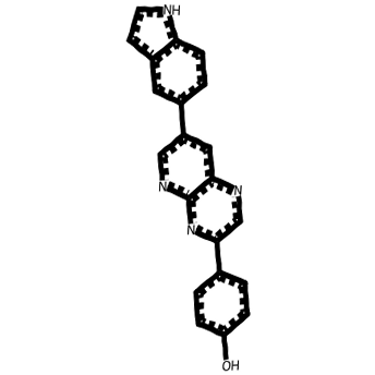 Oc1ccc(-c2cnc3cc(-c4ccc5[nH]ccc5c4)cnc3n2)cc1